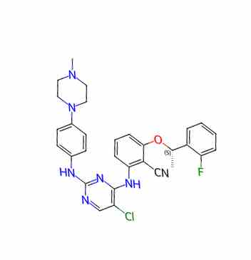 C[C@H](Oc1cccc(Nc2nc(Nc3ccc(N4CCN(C)CC4)cc3)ncc2Cl)c1C#N)c1ccccc1F